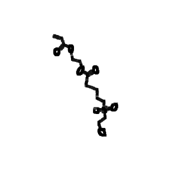 C=CC(=O)OCCOC(=O)CCCCS(=O)(=O)CCCl